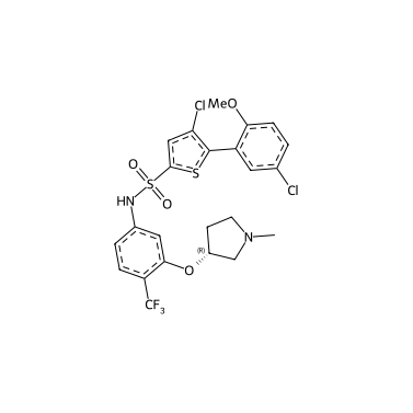 COc1ccc(Cl)cc1-c1sc(S(=O)(=O)Nc2ccc(C(F)(F)F)c(O[C@@H]3CCN(C)C3)c2)cc1Cl